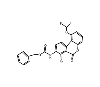 O=C(Nc1ccc2c(c1Br)c(=O)oc1cccc(OC(F)F)c12)OCc1ccccc1